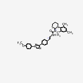 Cc1cc(C)c(N2CCCS/C2=N\C(=O)N/C=C/c2ccc(-c3ncn(-c4ccc(OC(F)(F)F)cc4)n3)cc2)c(C)c1